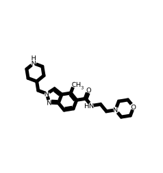 Cc1c(C(=O)NCCN2CCOCC2)ccc2nn(CC3CCNCC3)cc12